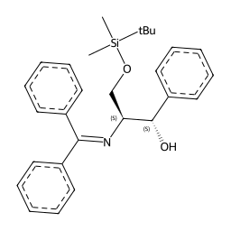 CC(C)(C)[Si](C)(C)OC[C@H](N=C(c1ccccc1)c1ccccc1)[C@@H](O)c1ccccc1